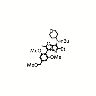 CCCCN(c1c(CC)nn2c(-c3c(OC)cc(COC)cc3OC)c(C)oc12)C1CCOCC1